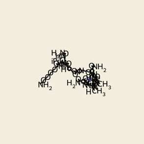 CCn1nc(C)cc1C(=O)Nc1nc2cc(C(N)=O)cc(OC)c2n1C/C=C/Cn1c(NC(=O)c2cc(C)nn2CC)nc2cc(C(N)=O)cc(OCCCN3CCN(C(=O)OCc4ccc(NC(=O)[C@H](CCCNC(N)=O)NC(=O)[C@@H](NC(=O)CCOCCOCCOCCOCCN)C(C)C)cc4)CC3)c21